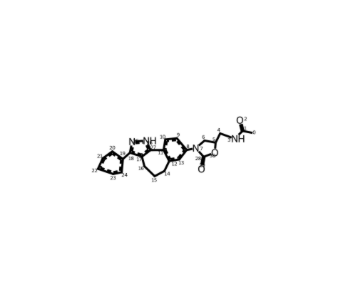 CC(=O)NCC1CN(c2ccc3c(c2)CCCc2c(-c4ccccc4)n[nH]c2-3)C(=O)O1